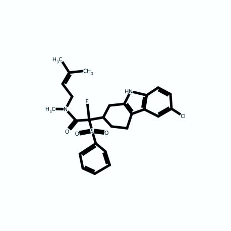 CC(C)=CCN(C)C(=O)C(F)(C1CCc2c([nH]c3ccc(Cl)cc23)C1)S(=O)(=O)c1ccccc1